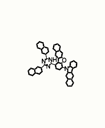 c1ccc2cc(C3=NC(c4ccc(-n5c6ccccc6c6cc7ccccc7cc65)c5oc6cc7ccccc7cc6c45)NC(c4ccc5ccccc5c4)=N3)ccc2c1